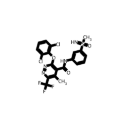 Cc1c(C(F)(F)F)nnc(Oc2c(Cl)cccc2Cl)c1C(=O)Nc1cccc(S(C)(=N)=O)c1